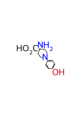 NC1(C(=O)O)CCN(c2ccc(O)cc2)CC1